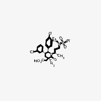 CCN(CC[C@H](C)N1C(=O)[C@@](C)(CC(=O)O)C[C@H](c2cccc(Cl)c2)[C@H]1c1ccc(Cl)cc1)S(=O)(=O)C(C)C